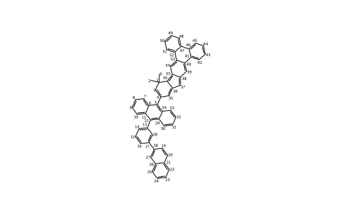 CC1(C)C=C(c2c3ccccc3c(-c3cccc(-c4ccc5ccccc5c4)c3)c3ccccc23)C=C2C=c3cc4c5ccccc5c5ccccc5c4cc3=C21